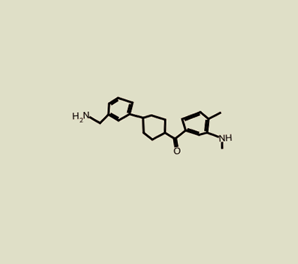 CNc1cc(C(=O)C2CCC(c3cccc(CN)c3)CC2)ccc1C